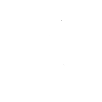 [Ir+3].c1ccc2c(c1)c1ccccc1c1nccnc21.c1ccc2c(c1)c1ccccc1c1nccnc21